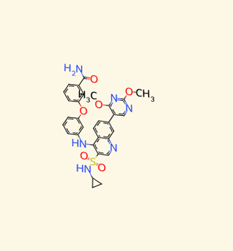 COc1ncc(-c2ccc3c(Nc4cccc(Oc5cccc(C(N)=O)c5)c4)c(S(=O)(=O)NC4CC4)cnc3c2)c(OC)n1